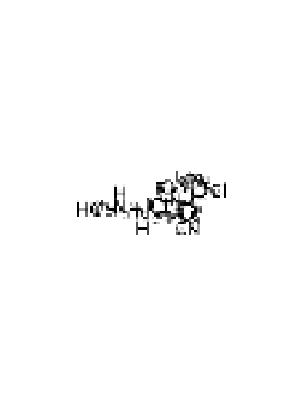 CCN1C(=O)N(c2c(F)cc(NCCNCCO)cc2F)c2cc(C#N)ccc2-c2cc(Cl)cnc21